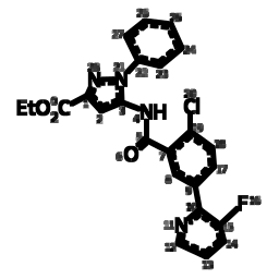 CCOC(=O)c1cc(NC(=O)c2cc(-c3ncccc3F)ccc2Cl)n(-c2ccccc2)n1